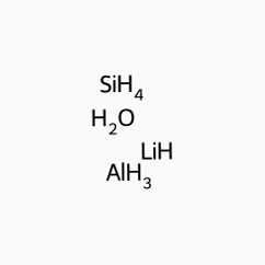 O.[AlH3].[LiH].[SiH4]